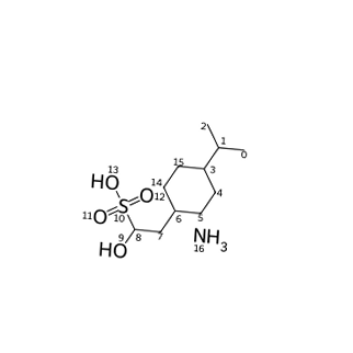 CC(C)C1CCC(CC(O)S(=O)(=O)O)CC1.N